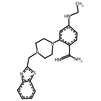 CCNc1ccc(C(=N)N)c(N2CCN(Cc3nc4ccccc4s3)CC2)c1